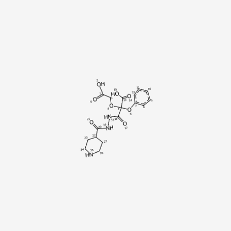 O=C(O)COC(Oc1ccccc1)(C(=O)O)C(=O)NNC(=O)C1CCNCC1